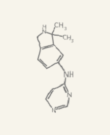 CC1(C)NCc2ccc(Nc3ccncn3)cc21